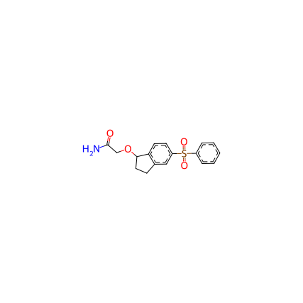 NC(=O)COC1CCc2cc(S(=O)(=O)c3ccccc3)ccc21